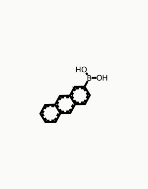 OB(O)c1[c]c2cc3ccccc3cc2cc1